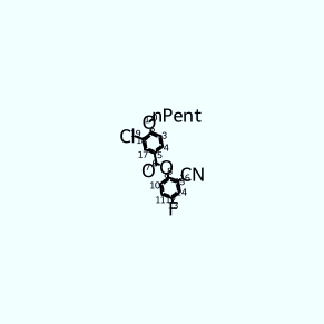 CCCCCOc1ccc(C(=O)Oc2ccc(F)cc2C#N)cc1Cl